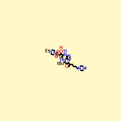 CCN1CCN(S(=O)(=O)c2scc(Nc3nsnc3N[C@@H](c3cc(CCCCN4CCN(C)CC4)co3)C(C)(C)C)c2O)CC1